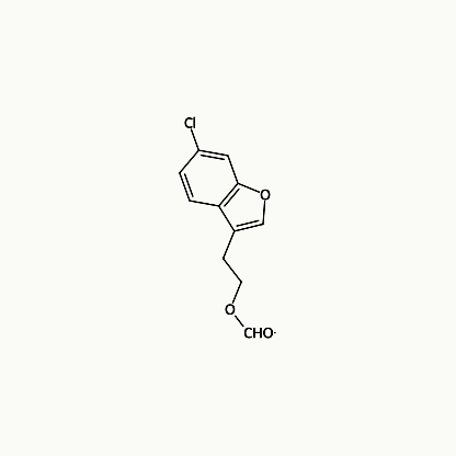 O=[C]OCCc1coc2cc(Cl)ccc12